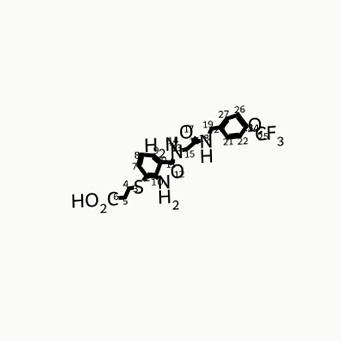 Nc1c(SCCC(=O)O)cccc1C(=O)N(N)CC(=O)NCc1ccc(OC(F)(F)F)cc1